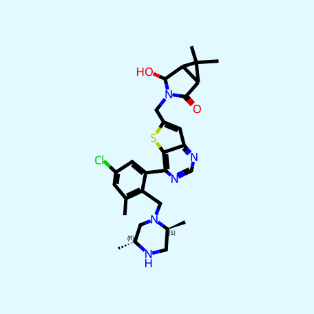 Cc1cc(Cl)cc(-c2ncnc3cc(CN4C(=O)C5C(C4O)C5(C)C)sc23)c1CN1C[C@@H](C)NC[C@@H]1C